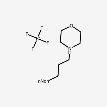 CCCCCCCCCCCC[NH+]1CCOCC1.F[B-](F)(F)F